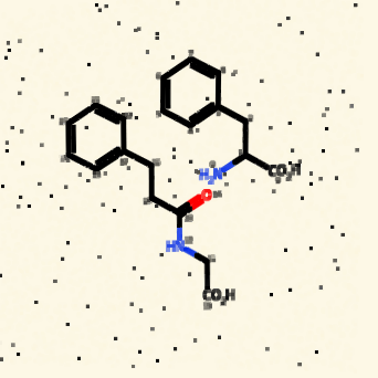 NC(Cc1ccccc1)C(=O)O.O=C(O)CNC(=O)CCc1ccccc1